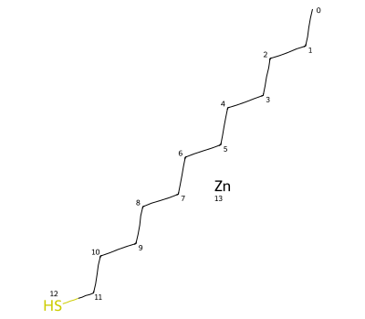 CCCCCCCCCCCCS.[Zn]